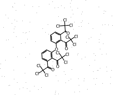 O=C(c1cccc(Oc2cccc(C(=O)C(Cl)(Cl)Cl)c2C(=O)C(Cl)(Cl)Cl)c1C(=O)C(Cl)(Cl)Cl)C(Cl)(Cl)Cl